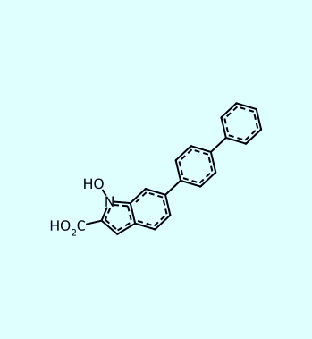 O=C(O)c1cc2ccc(-c3ccc(-c4ccccc4)cc3)cc2n1O